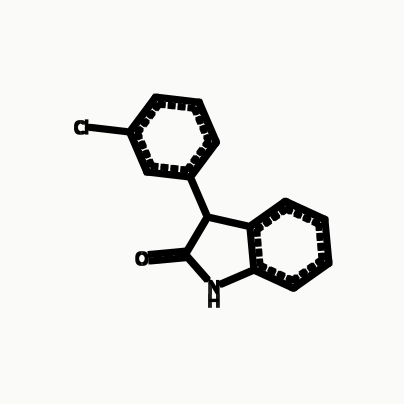 O=C1Nc2ccccc2C1c1cccc(Cl)c1